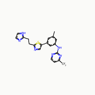 Cc1cc(Nc2nccc(C(F)(F)F)n2)cc(-c2cnc(CCc3ncc[nH]3)s2)c1